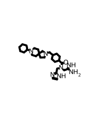 N=C(N)CN(Cc1ncc[nH]1)C(=O)C1CCC(CN2CCC3(CCN(C4CCCCC4)CC3)C2)CC1